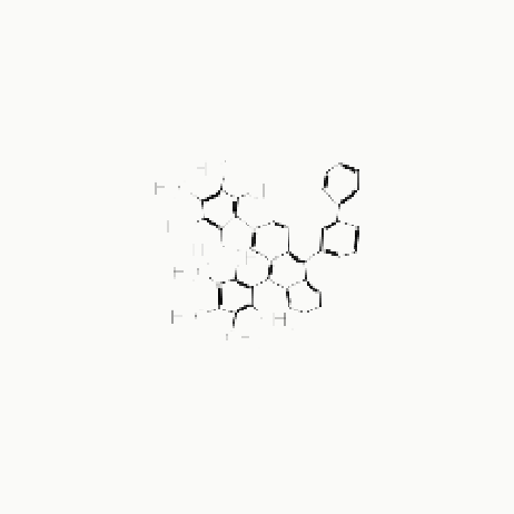 Bc1c(C)c(C)c(C)c(C)c1-c1ccc2c(-c3cccc(-c4ccccc4)c3)c3c(c(-c4c(C)c(C)c(C)c(C)c4C)c2c1)=CCCC=3